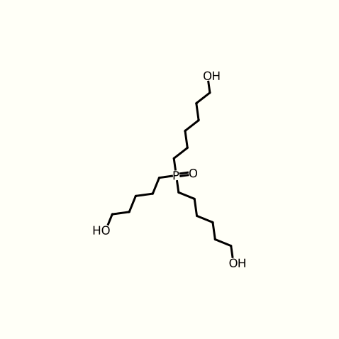 O=P(CCCCCO)(CCCCCCO)CCCCCCO